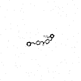 COc1ccccc1CN1CCN(C(=O)CN2CCN(CCc3cccnc3)CC2)CC1